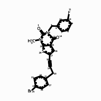 Cn1c(=O)n(Cc2cccc(F)c2)c(=O)c2cc(C#CCc3ccc(Br)cc3)sc21